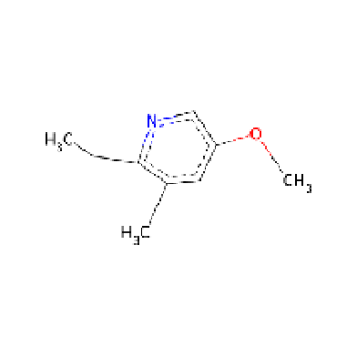 CCc1ncc(OC)cc1C